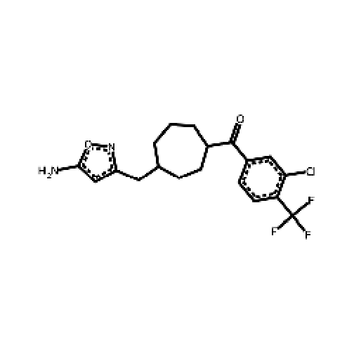 Nc1cc(CC2CCCC(C(=O)c3ccc(C(F)(F)F)c(Cl)c3)CC2)no1